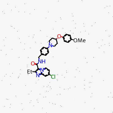 CCc1nc2cc(Cl)ccn2c1C(=O)NCc1ccc(N2CCC(Oc3ccc(OC)cc3)CC2)cc1